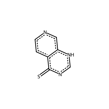 S=c1nc[nH]c2cnccc12